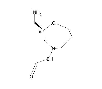 NC[C@@H]1CN(BC=O)CCCO1